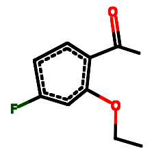 CCOc1cc(F)ccc1C(C)=O